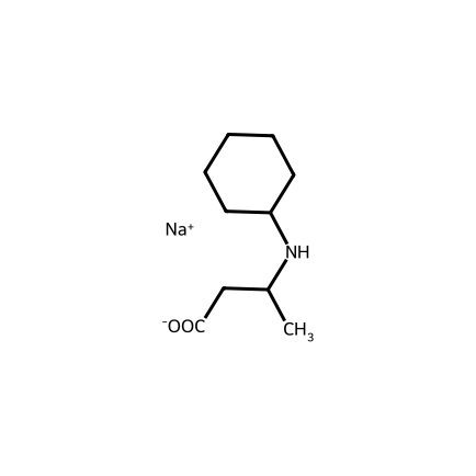 CC(CC(=O)[O-])NC1CCCCC1.[Na+]